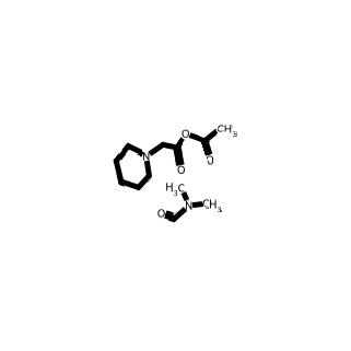 CC(=O)OC(=O)CN1CCCCC1.CN(C)C=O